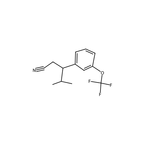 CC(C)C(CC#N)c1cccc(OC(F)(F)F)c1